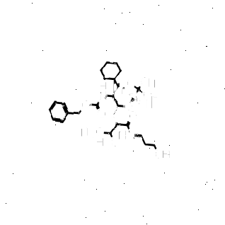 CCCCNC(=O)[C@@H](C[C@H](O[Si](C)(C)C(C)(C)C)[C@H](CC1CCCCC1)NC(=O)OCc1ccccc1)C(C)C